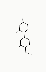 CC1CC(C2CCC(C#N)CC2F)CCC1CO